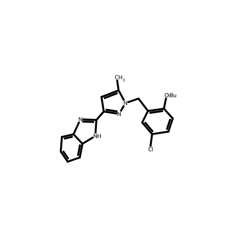 Cc1cc(-c2nc3ccccc3[nH]2)nn1Cc1cc(Cl)ccc1OCC(C)C